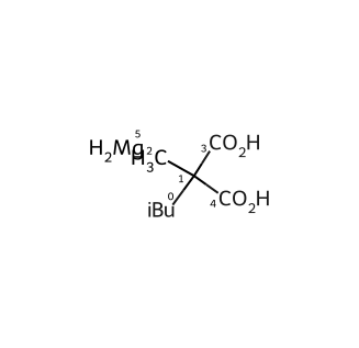 CCC(C)C(C)(C(=O)O)C(=O)O.[MgH2]